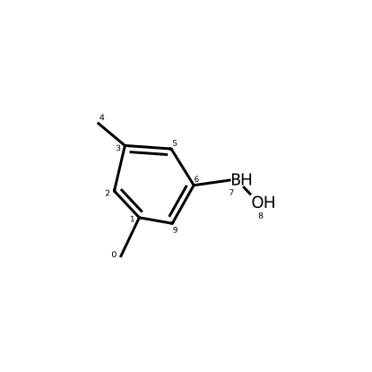 Cc1cc(C)cc(BO)c1